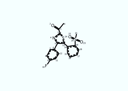 CC(=O)c1nc(-c2ccc(F)cc2)c(-c2ccccc2S(C)(=O)=O)s1